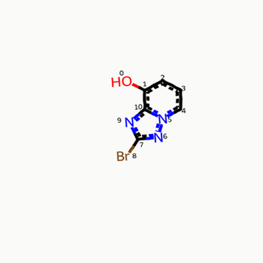 Oc1cccn2nc(Br)nc12